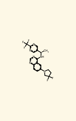 C[C@@H](Nc1ncnc2ccc(N3CCC(F)(F)C3)cc12)c1cnc(C(F)(F)F)nc1